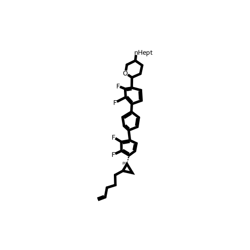 C=CCCCC1C[C@H]1c1ccc(-c2ccc(-c3ccc(C4CCC(CCCCCCC)CO4)c(F)c3F)cc2)c(F)c1F